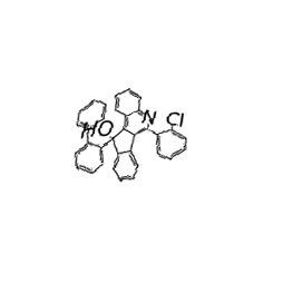 OC1(c2ccccc2-c2ccccc2)c2ccccc2-c2c(-c3ccccc3Cl)nc3ccccc3c21